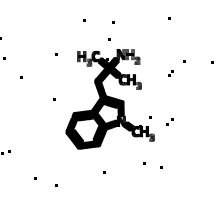 Cn1cc(CC(C)(C)N)c2ccccc21